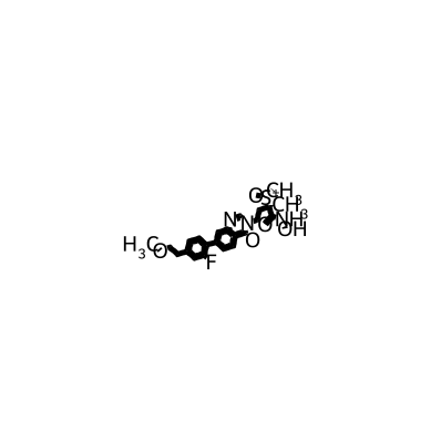 COCCc1ccc(-c2ccc3c(=O)n(CC[C@](C)(C(=O)NO)[S+](C)[O-])cnc3c2)c(F)c1